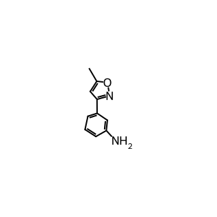 Cc1cc(-c2cccc(N)c2)no1